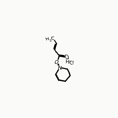 C/C=C/C(=O)ON1CCCCC1.Cl